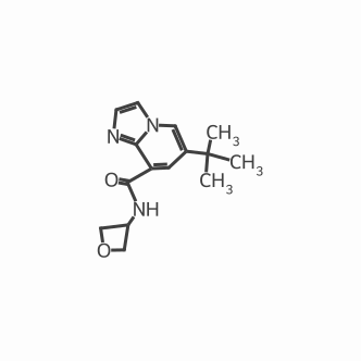 CC(C)(C)c1cc(C(=O)NC2COC2)c2nccn2c1